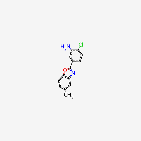 Cc1ccc2oc(-c3ccc(Cl)c(N)c3)nc2c1